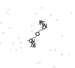 Cc1cc(CCc2ccc(CCc3cc(C)nc(-n4c(C)ccc4C)c3)cc2)nc(-n2c(C)ccc2C)c1